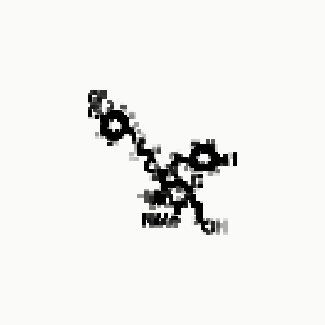 CNC(O)N(CCO)C(=O)C1C(N)[C@@H](OCCOc2ccc(OC(F)(F)F)cc2)N1Cc1ccc(Cl)cc1